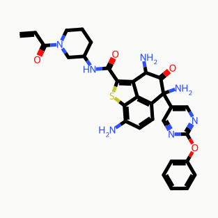 C=CC(=O)N1CCCC(NC(=O)c2sc3c(N)ccc4c3c2C(N)C(=O)C4(N)c2cnc(Oc3ccccc3)nc2)C1